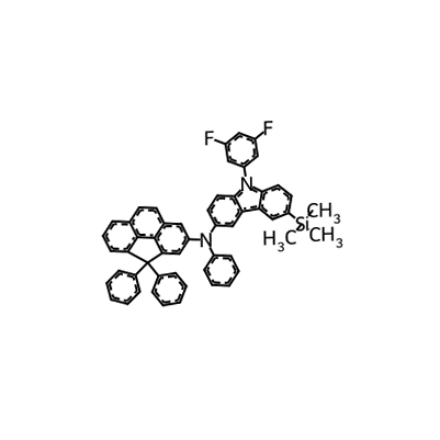 C[Si](C)(C)c1ccc2c(c1)c1cc(N(c3ccccc3)c3cc4c5c(ccc6cccc(c65)C4(c4ccccc4)c4ccccc4)c3)ccc1n2-c1cc(F)cc(F)c1